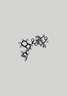 Cn1cc(-n2cc(C(=O)OC3C[C@H]4COC[C@@H](C3)N4)c3ccccc32)cn1